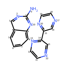 Nc1ncc2ccccc2n1.c1cnc(-c2cnccn2)cn1